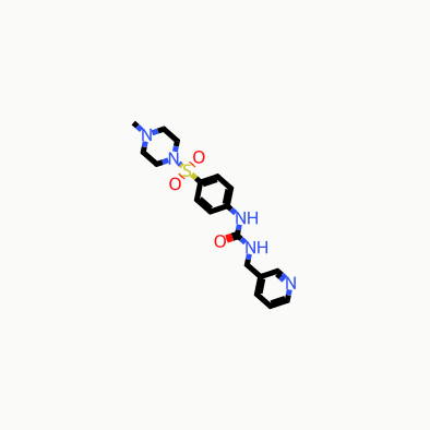 CN1CCN(S(=O)(=O)c2ccc(NC(=O)NCc3cccnc3)cc2)CC1